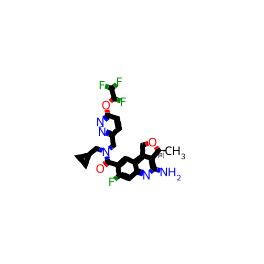 C[C@H]1OCc2c1c(N)nc1cc(F)c(C(=O)N(Cc3ccc(OC(F)C(F)F)nn3)CC3CC3)cc21